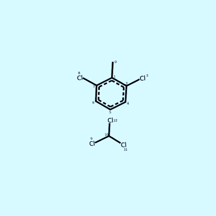 Cc1c(Cl)cccc1Cl.ClC(Cl)Cl